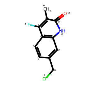 Cc1c(F)c2ccc(CCl)cc2[nH]c1=O